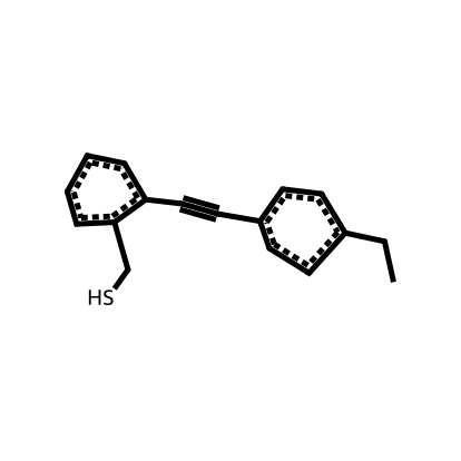 CCc1ccc(C#Cc2ccccc2CS)cc1